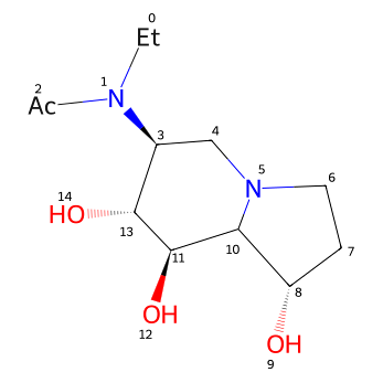 CCN(C(C)=O)[C@H]1CN2CC[C@H](O)C2[C@@H](O)[C@@H]1O